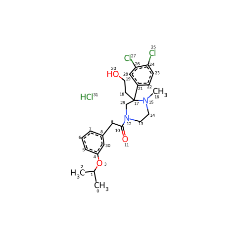 CC(C)Oc1cccc(CC(=O)N2CCN(C)C(CCO)(c3ccc(Cl)c(Cl)c3)C2)c1.Cl